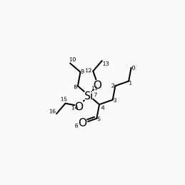 CCCCC(C=O)[Si](CCC)(OCC)OCC